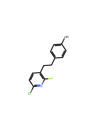 CCCc1ccc(CCc2ccc(Cl)nc2F)cc1